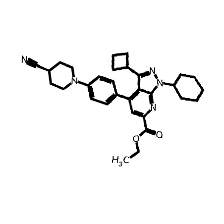 CCOC(=O)c1cc(-c2ccc(N3CCC(C#N)CC3)cc2)c2c(C3CCC3)nn(C3CCCCC3)c2n1